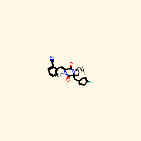 CCC1(Cc2ccc(F)cc2)C(=O)N(C)C(=Cc2c(F)cccc2C#N)C(=O)N1C